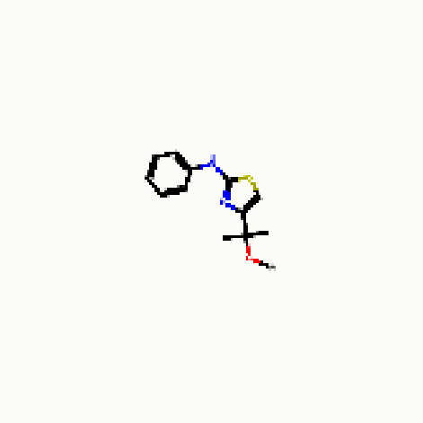 CC(C)OC(C)(C)c1csc(Nc2cc[c]cc2)n1